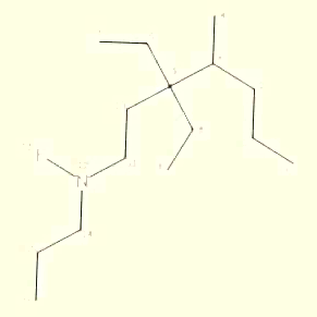 CCCC(C)C(CC)(CC)CCN(F)CCC